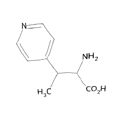 CC(c1ccncc1)C(N)C(=O)O